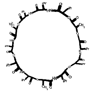 CC1OC(=O)C(C(C)C)NC(=O)C(C(C)C)NC(=O)C(C(C)C)OC(=O)C(C)OC(=O)C(C(C)C)NC(=O)C(C(C)C)OC(=O)C(C(C)C)NC(=O)C(C)OC(=O)C(C(C)C)NC(=O)C(C(C)C)OC(=O)C(C(C)C)NC1=O.[KH]